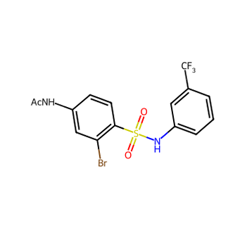 CC(=O)Nc1ccc(S(=O)(=O)Nc2cccc(C(F)(F)F)c2)c(Br)c1